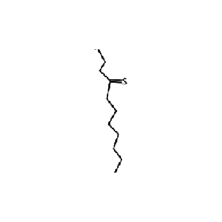 [CH2]CCC(=S)CCCCCCC